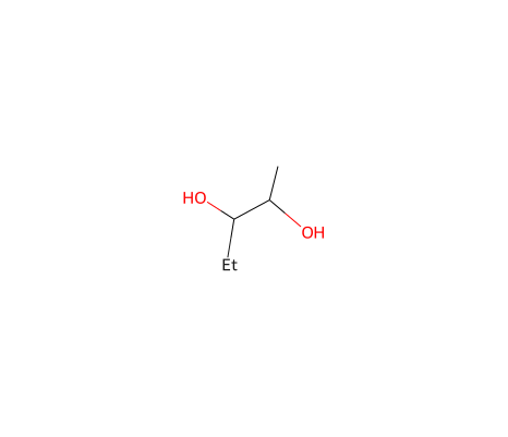 CCC(O)C(C)O